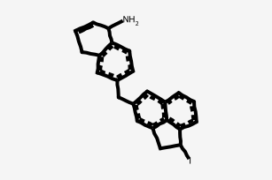 NC1C=CCc2cc(Cc3cc4c5c(cccc5c3)C(I)C4)ccc21